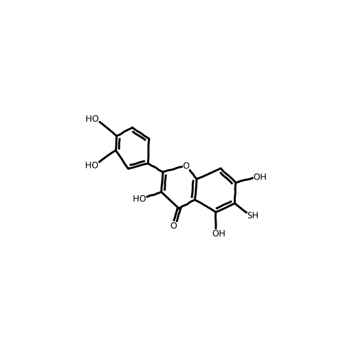 O=c1c(O)c(-c2ccc(O)c(O)c2)oc2cc(O)c(S)c(O)c12